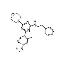 Cc1cc(N)ncc1-c1nc(NCCc2cccnc2)nc(N2CCOCC2)n1